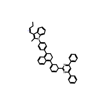 CC/C=C\c1c(C)n(-c2ccc(C3=c4ccccc4=C(C4=CC=CC(c5nc(-c6ccccc6)cc(-c6ccccc6)n5)C4)CC3)cc2)c2ccccc12